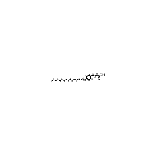 CCCCCCCCCCCCCCCCOc1ccc(CCCC(=O)O)cc1